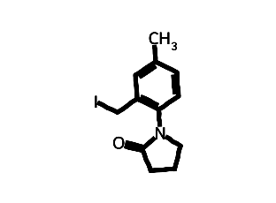 Cc1ccc(N2CCCC2=O)c(CI)c1